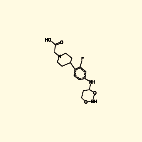 O=C(O)CN1CCC(c2ccc(NC3CCONO3)cc2F)CC1